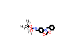 CC(C)(C)OC(=O)NCc1ccc2c(c1)OCC(=O)N2Cc1ccccc1